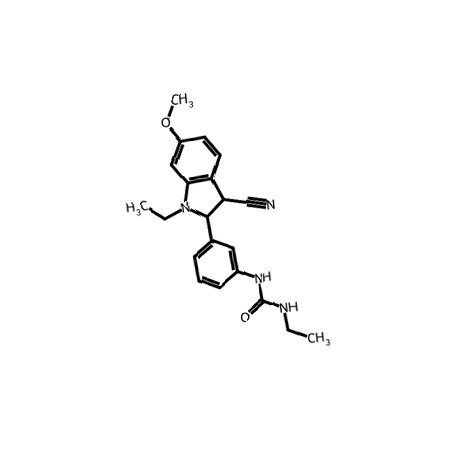 CCNC(=O)Nc1cccc(C2C(C#N)c3ccc(OC)cc3N2CC)c1